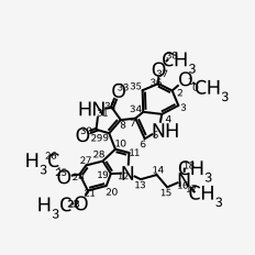 COc1cc2[nH]cc(C3=C(c4cn(CCCN(C)C)c5cc(OC)c(OC)cc45)C(=O)NC3=O)c2cc1OC